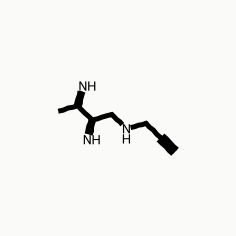 C#CCNCC(=N)C(C)=N